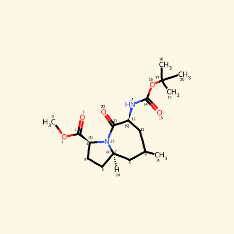 COC(=O)[C@@H]1CC[C@@H]2CC(C)C[C@H](NC(=O)OC(C)(C)C)C(=O)N21